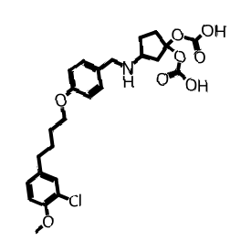 COc1ccc(CCCCOc2ccc(CNC3CCC(OC(=O)O)(OC(=O)O)C3)cc2)cc1Cl